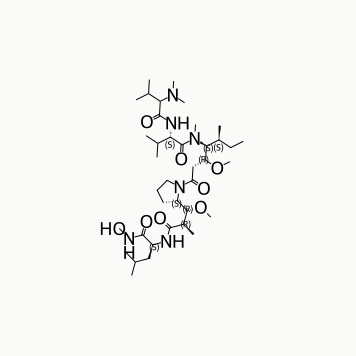 CC[C@H](C)[C@@H]([C@@H](CC(=O)N1CCC[C@H]1[C@H](OC)[C@@H](C)C(=O)N[C@@H](CC(C)C)C(=O)NO)OC)N(C)C(=O)[C@@H](NC(=O)C(C(C)C)N(C)C)C(C)C